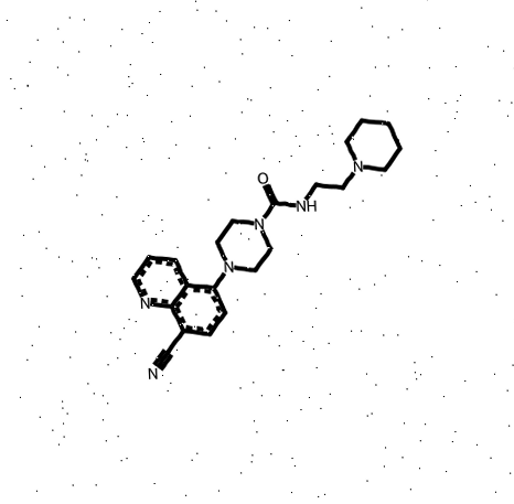 N#Cc1ccc(N2CCN(C(=O)NCCN3CCCCC3)CC2)c2cccnc12